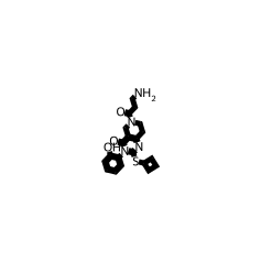 NCCC(=O)N1CCc2nc(SC3CCC3)n(-c3ccccc3O)c(=O)c2C1